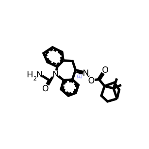 CC1(C)C2CCC1(C(=O)O/N=C1/Cc3ccccc3N(C(N)=O)c3ccccc31)CC2